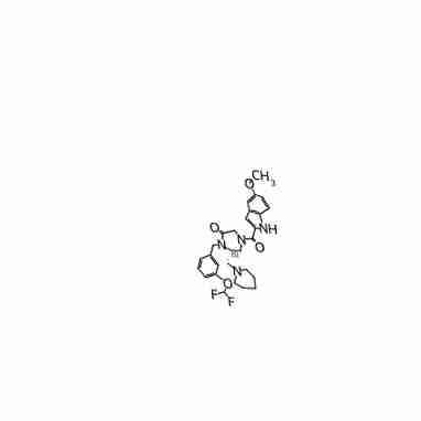 COc1ccc2[nH]c(C(=O)N3CC(=O)N(Cc4cccc(OC(F)F)c4)[C@@H](CN4CCCCC4)C3)cc2c1